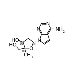 C[C@]1(CO)O[C@@H](n2ccc3c(N)ncnc32)C[C@@H]1O